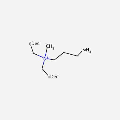 CCCCCCCCCCC[N+](C)(CCC[SiH3])CCCCCCCCCCC